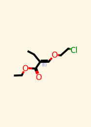 CCOC(=O)/C(=C/OCCCl)CC